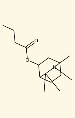 CCCC(=O)OC1CC2(C)CCC1C(C)(C)N2C